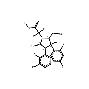 CC(C)(C)C[C@@H]1N(C(F)(F)C(=O)OF)[C@H](C(=O)O)[C@H](c2cccc(Cl)c2F)[C@@]1(C#N)c1ccc(Cl)cc1F